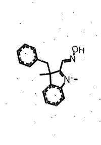 C[N+]1=C(C=NO)C(C)(Cc2ccccc2)c2ccccc21